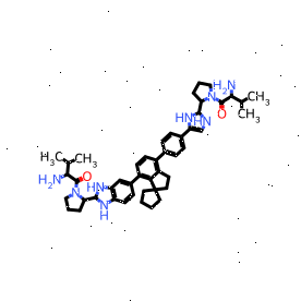 CC(C)C(N)C(=O)N1CCCC1C1NC=C(c2ccc(-c3ccc(-c4ccc5c(c4)NC(C4CCCN4C(=O)C(N)C(C)C)N5)c4c3CCC43CCCC3)cc2)N1